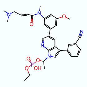 CCOP(=O)(O)OC(C)n1cc(-c2cccc(C#N)c2)c2cc(-c3cc(OC)cc(N(C)C(=O)C=CCN(C)C)c3)cnc21